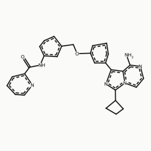 Nc1nccn2c(C3CCC3)nc(-c3cccc(OCc4cccc(NC(=O)c5ccccn5)c4)c3)c12